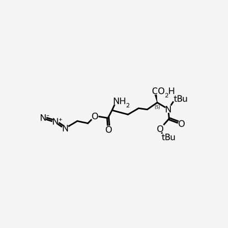 CC(C)(C)OC(=O)N([C@@H](CCCC(N)C(=O)OCCN=[N+]=[N-])C(=O)O)C(C)(C)C